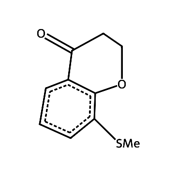 CSc1cccc2c1OCCC2=O